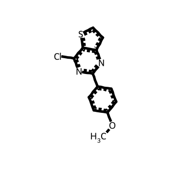 COc1ccc(-c2nc(Cl)c3sccc3n2)cc1